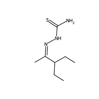 CCC(CC)/C(C)=N\NC(N)=S